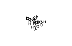 O=C(NC1CC1)C(=O)C(C[C@@H]1CCNC1=O)NC(=O)[C@@H]1CC2(CCN1C(=O)c1cc3ccccc3[nH]1)CC2